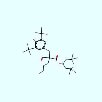 CCCCC(C=O)(Cc1cc(C(C)(C)C)c(O)c(C(C)(C)C)c1)C(=O)OC1CC(C)(C)NC(C)(C)C1